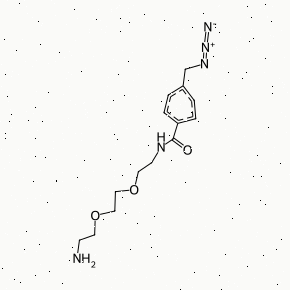 [N-]=[N+]=NCc1ccc(C(=O)NCCOCCOCCN)cc1